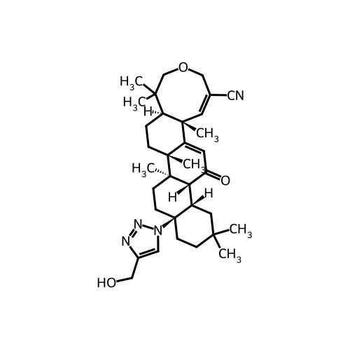 CC1(C)CC[C@]2(n3cc(CO)nn3)CC[C@]3(C)[C@H](C(=O)C=C4[C@@]5(C)/C=C(/C#N)COCC(C)(C)[C@@H]5CC[C@]43C)[C@@H]2C1